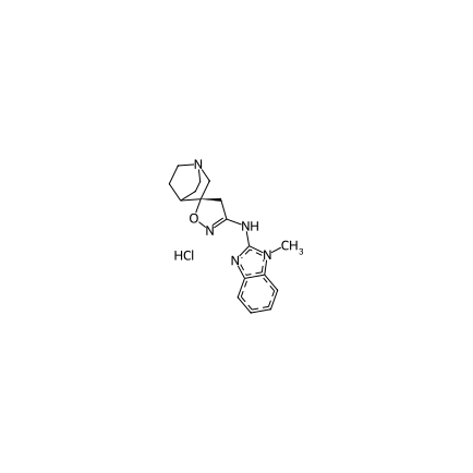 Cl.Cn1c(NC2=NO[C@@]3(C2)CN2CCC3CC2)nc2ccccc21